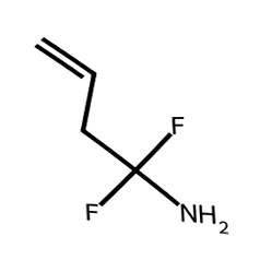 C=CCC(N)(F)F